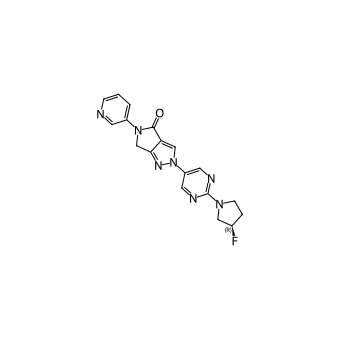 O=C1c2cn(-c3cnc(N4CC[C@@H](F)C4)nc3)nc2CN1c1cccnc1